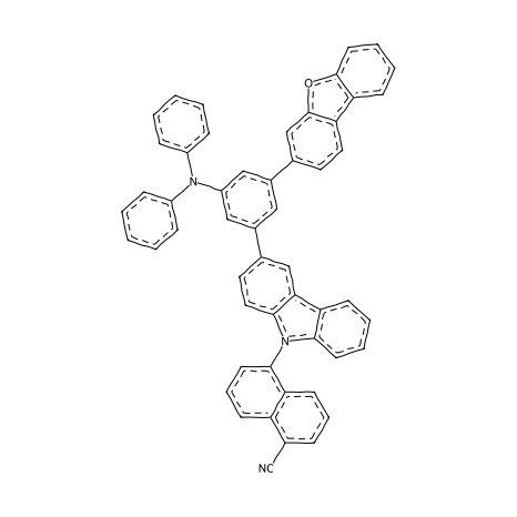 N#Cc1cccc2c(-n3c4ccccc4c4cc(-c5cc(-c6ccc7c(c6)oc6ccccc67)cc(N(c6ccccc6)c6ccccc6)c5)ccc43)cccc12